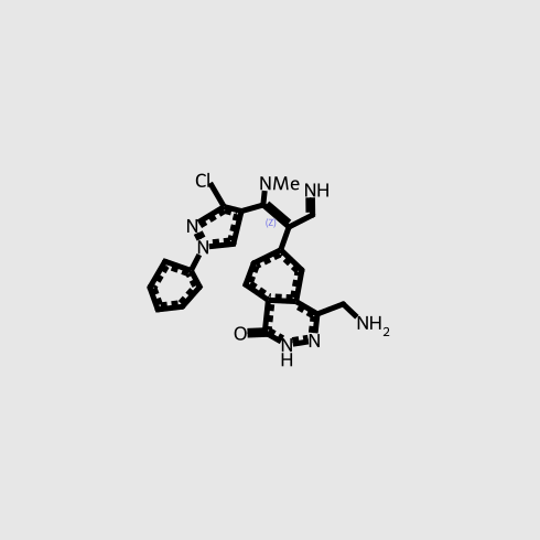 CN/C(=C(\C=N)c1ccc2c(=O)[nH]nc(CN)c2c1)c1cn(-c2ccccc2)nc1Cl